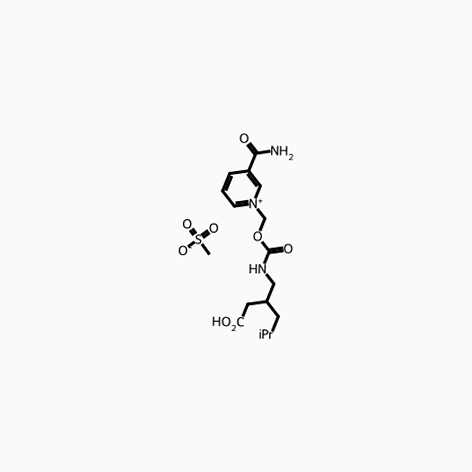 CC(C)CC(CNC(=O)OC[n+]1cccc(C(N)=O)c1)CC(=O)O.CS(=O)(=O)[O-]